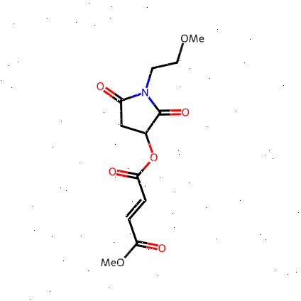 COCCN1C(=O)CC(OC(=O)/C=C/C(=O)OC)C1=O